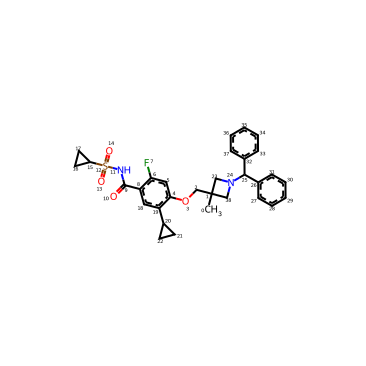 CC1(COc2cc(F)c(C(=O)NS(=O)(=O)C3CC3)cc2C2CC2)CN(C(c2ccccc2)c2ccccc2)C1